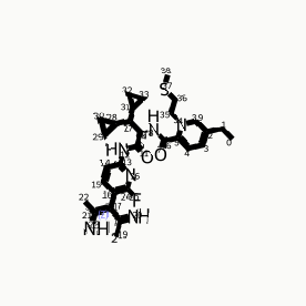 CCC1=CC=C(C(=O)N[C@H](C(=O)Nc2ccc(/C(C(C)=N)=C(\C)N)c(F)n2)C(C2CC2)C2CC2)N(CCSC)C1